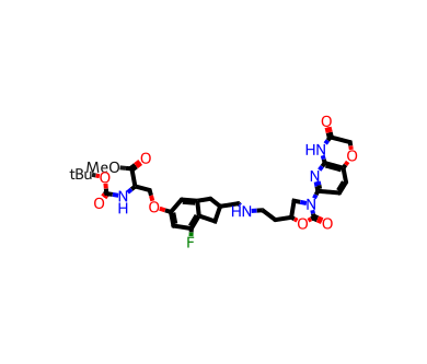 COC(=O)C(COc1cc(F)c2c(c1)CC(CNCCC1CN(c3ccc4c(n3)NC(=O)CO4)C(=O)O1)C2)NC(=O)OC(C)(C)C